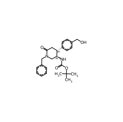 CC(C)(C)OC(=O)N[C@H]1CN(Cc2ccccc2)C(=O)C[C@@H]1c1ccc(CO)cc1